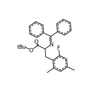 Cc1cc(C)c(CC(N=C(c2ccccc2)c2ccccc2)C(=O)OC(C)(C)C)c(F)c1